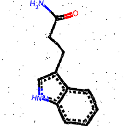 NC(=O)[CH]Cc1c[nH]c2ccccc12